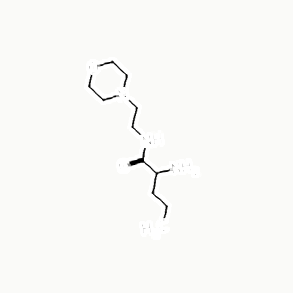 CCCC(N)C(=O)NCCN1CCOCC1